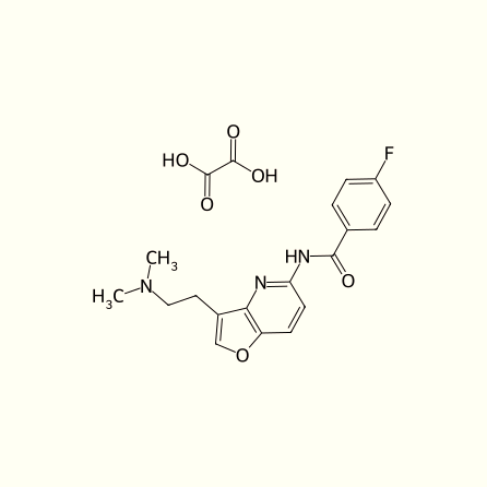 CN(C)CCc1coc2ccc(NC(=O)c3ccc(F)cc3)nc12.O=C(O)C(=O)O